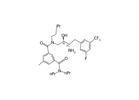 CCCN(CCC)C(=O)c1cc(C)cc(C(=O)N(CCC(C)C)C[C@@H](O)[C@@H](N)Cc2cc(F)cc(C(F)(F)F)c2)c1